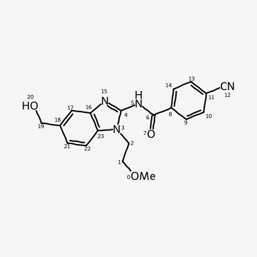 COCCn1c(NC(=O)c2ccc(C#N)cc2)nc2cc(CO)ccc21